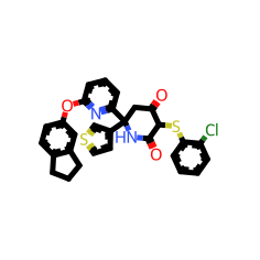 O=C1CC(c2ccsc2)(c2cccc(Oc3ccc4c(c3)CCC4)n2)NC(=O)C1Sc1ccccc1Cl